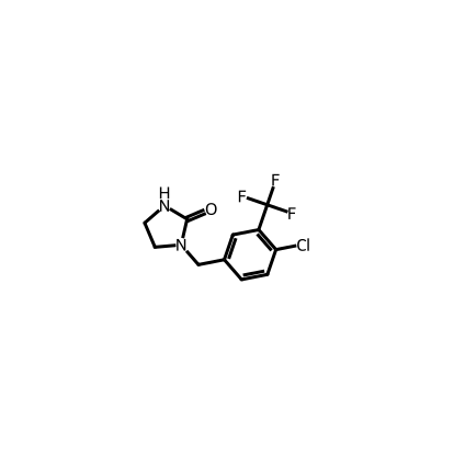 O=C1NCCN1Cc1ccc(Cl)c(C(F)(F)F)c1